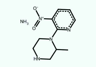 CC1CNCCN1c1ncccc1[N+](=O)[O-].N